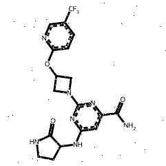 NC(=O)c1cc(NC2CCNC2=O)nc(N2CC(Oc3ccc(C(F)(F)F)cn3)C2)n1